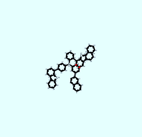 c1cc(-c2ccc3ccccc3c2)cc(N(c2ccc(-c3cccc4c3sc3ccccc34)cc2)c2ccccc2-c2cccc3c2oc2c4ccccc4ccc32)c1